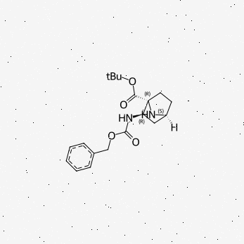 CC(C)(C)OC(=O)[C@@]12CC[C@@H](C[C@H]1NC(=O)OCc1ccccc1)N2